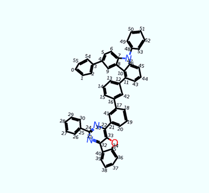 c1ccc(-c2ccc3c(c2)c2c(-c4cccc(-c5cccc(-c6nc(-c7ccccc7)nc7c6oc6ccccc67)c5)c4)cccc2n3-c2ccccc2)cc1